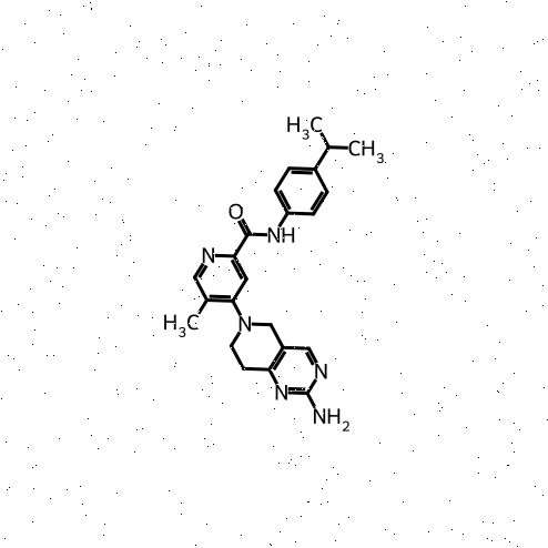 Cc1cnc(C(=O)Nc2ccc(C(C)C)cc2)cc1N1CCc2nc(N)ncc2C1